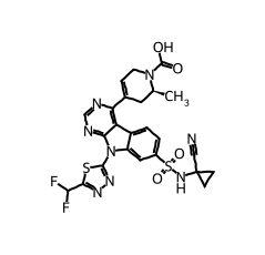 C[C@H]1CC(c2ncnc3c2c2ccc(S(=O)(=O)NC4(C#N)CC4)cc2n3-c2nnc(C(F)F)s2)=CCN1C(=O)O